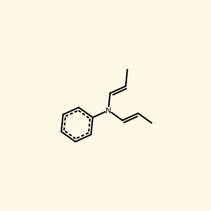 CC=CN(C=CC)c1cc[c]cc1